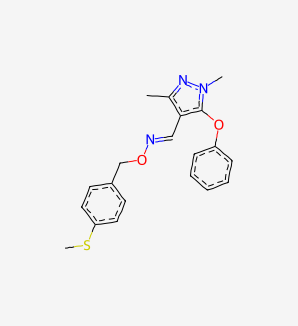 CSc1ccc(CON=Cc2c(C)nn(C)c2Oc2ccccc2)cc1